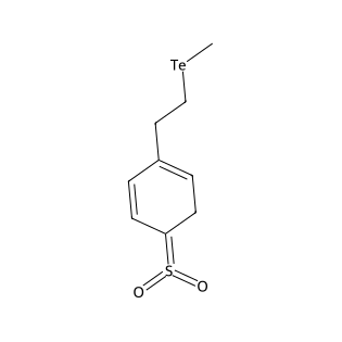 C[Te]CCC1=CCC(=S(=O)=O)C=C1